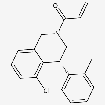 C=CC(=O)N1Cc2cccc(Cl)c2[C@@H](c2ccccc2C)C1